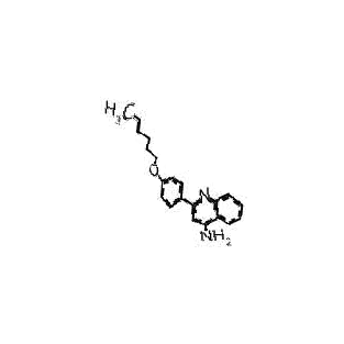 CCCCCCOc1ccc(-c2cc(N)c3ccccc3n2)cc1